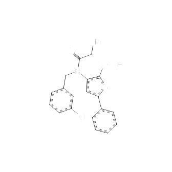 CC(C)CC(=O)N(Cc1cccc(Cl)c1)c1cc(-c2ccccc2)sc1C(=O)O